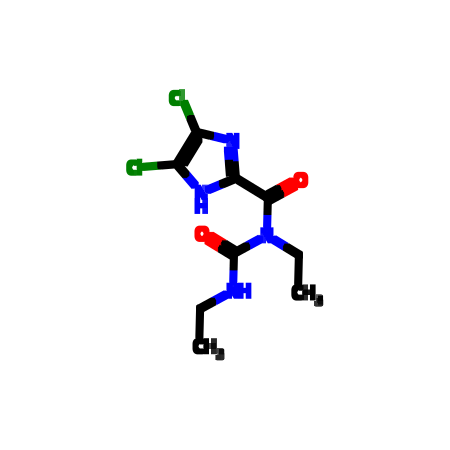 CCNC(=O)N(CC)C(=O)c1nc(Cl)c(Cl)[nH]1